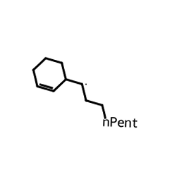 CCCCCCC[CH]C1C=CCCC1